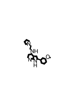 COc1cccc(-c2cc3c(NCCn4cccc4)ccnc3[nH]2)c1